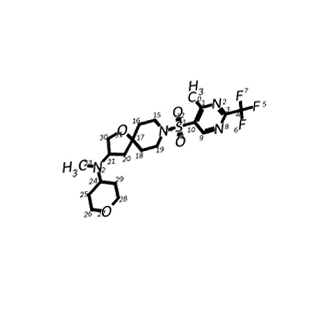 Cc1nc(C(F)(F)F)ncc1S(=O)(=O)N1CCC2(CC1)CC(N(C)C1CCOCC1)CO2